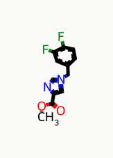 COC(=O)c1cn(Cc2ccc(F)c(F)c2)cn1